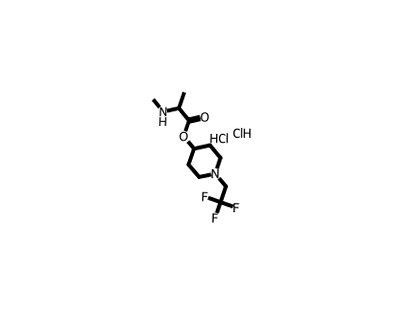 CNC(C)C(=O)OC1CCN(CC(F)(F)F)CC1.Cl.Cl